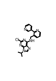 CC(C)n1cnc2c(NCc3cccnc3-c3cccnc3)nc(Cl)nc21